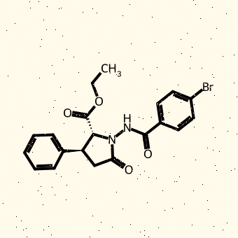 CCOC(=O)[C@H]1[C@H](c2ccccc2)CC(=O)N1NC(=O)c1ccc(Br)cc1